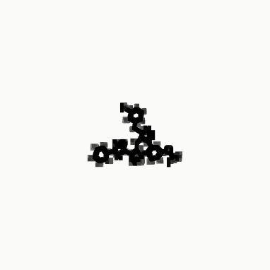 Fc1cccc(Cc2nnn3c2Cc2c(-c4nc(-c5ccccc5)no4)ncn2-c2ccc(OC(F)F)cc2-3)c1